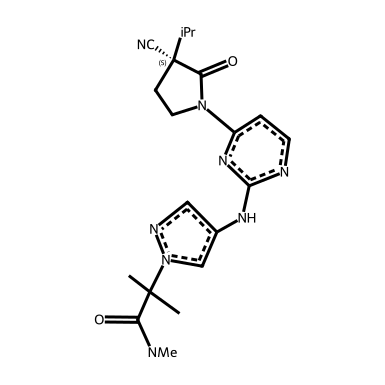 CNC(=O)C(C)(C)n1cc(Nc2nccc(N3CC[C@@](C#N)(C(C)C)C3=O)n2)cn1